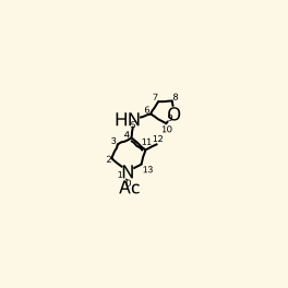 CC(=O)N1CCC(NC2CCOC2)=C(C)C1